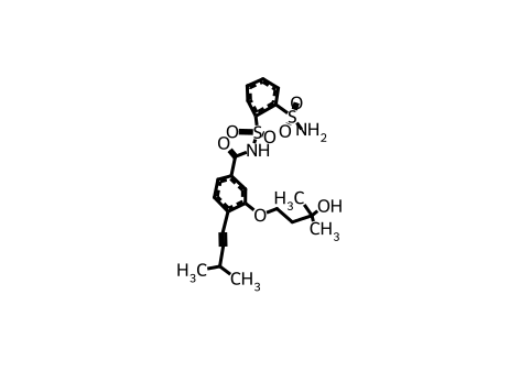 CC(C)C#Cc1ccc(C(=O)NS(=O)(=O)c2ccccc2S(N)(=O)=O)cc1OCCC(C)(C)O